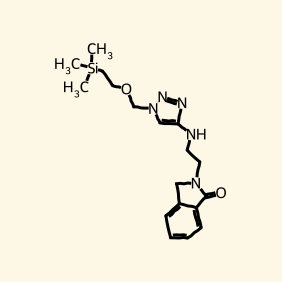 C[Si](C)(C)CCOCn1cc(NCCN2Cc3ccccc3C2=O)nn1